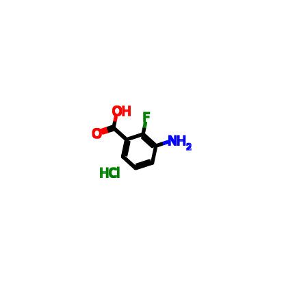 Cl.Nc1cccc(C(=O)O)c1F